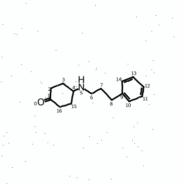 O=C1CCC(NCCCc2ccccc2)CC1